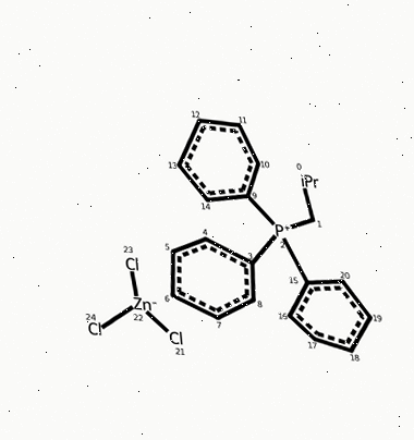 CC(C)C[P+](c1ccccc1)(c1ccccc1)c1ccccc1.[Cl][Zn-]([Cl])[Cl]